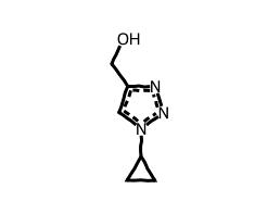 OCc1cn(C2CC2)nn1